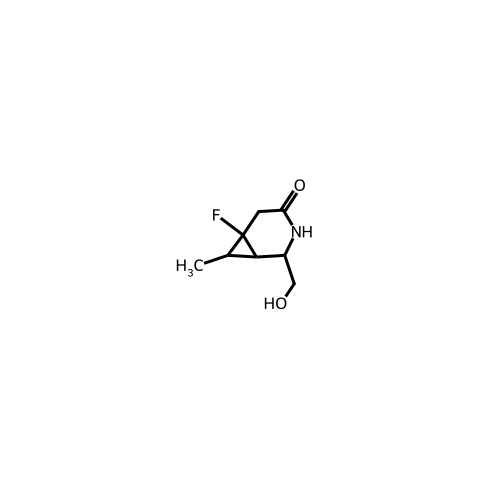 CC1C2C(CO)NC(=O)CC12F